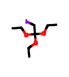 CCOC(CI)(OCC)OCC